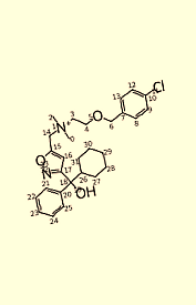 C[N+](C)(CCOCc1ccc(Cl)cc1)Cc1cc(C(O)(c2ccccc2)C2CCCCC2)no1